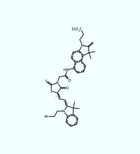 C=C1N(CCC(=O)OCC)c2ccc3c(NC(=O)CN4C(=O)/C(=C\C=C5/N(CCC(C)C)c6ccccc6C5(C)C)SC4=S)cccc3c2C1(C)C